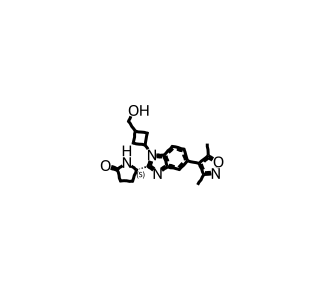 Cc1noc(C)c1-c1ccc2c(c1)nc([C@@H]1CCC(=O)N1)n2C1CC(CO)C1